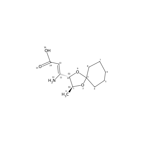 C[C@@H]1OC2(CCCCC2)O[C@H]1C(N)=CC(=O)O